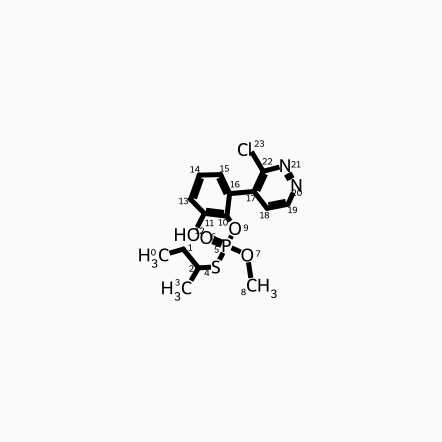 CCC(C)SP(=O)(OC)Oc1c(O)cccc1-c1ccnnc1Cl